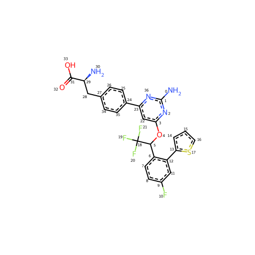 Nc1nc(OC(c2ccc(F)cc2-c2cccs2)C(F)(F)F)cc(-c2ccc(C[C@H](N)C(=O)O)cc2)n1